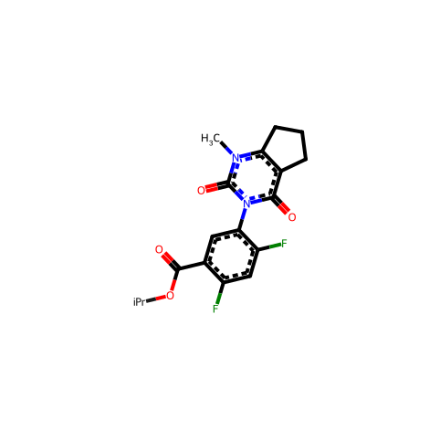 CC(C)OC(=O)c1cc(-n2c(=O)c3c(n(C)c2=O)CCC3)c(F)cc1F